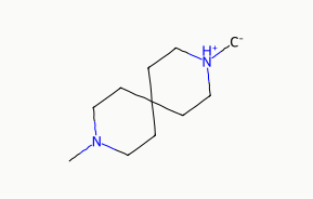 [CH2-][NH+]1CCC2(CCN(C)CC2)CC1